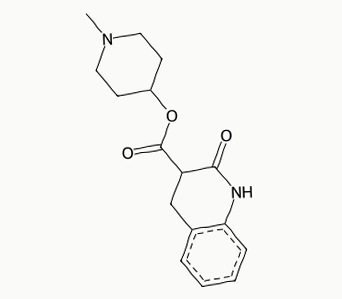 CN1CCC(OC(=O)C2Cc3ccccc3NC2=O)CC1